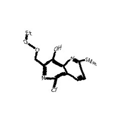 CCOOCc1nc(Cl)c2ccc(SC)nc2c1O